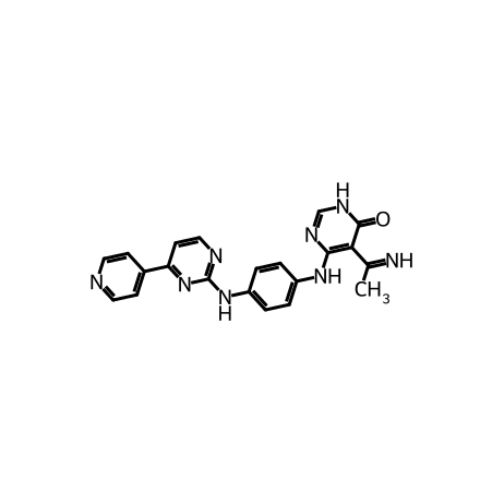 CC(=N)c1c(Nc2ccc(Nc3nccc(-c4ccncc4)n3)cc2)nc[nH]c1=O